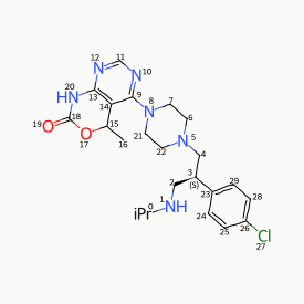 CC(C)NC[C@@H](CN1CCN(c2ncnc3c2C(C)OC(=O)N3)CC1)c1ccc(Cl)cc1